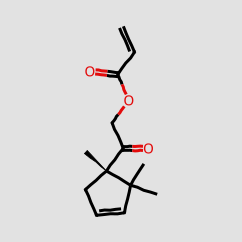 C=CC(=O)OCC(=O)[C@@]1(C)CC=CC1(C)C